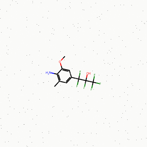 COc1cc(C(F)(F)C(O)(F)C(F)(F)F)cc(C)c1N